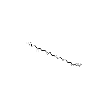 C=CCNCCCOCCOCCOCCCNC(=O)O